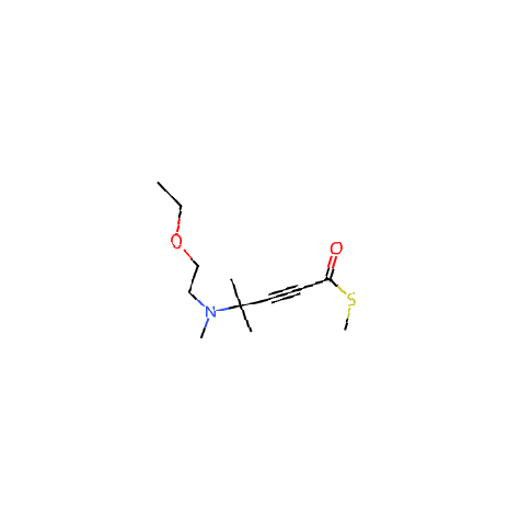 CCOCCN(C)C(C)(C)C#CC(=O)SC